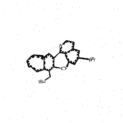 CC(C)c1cc2c3c(nccc3c1)-c1cc3ccccc3c(CC(C)(C)C)c1O2